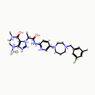 Cc1cc(F)cc(CN2CCCN(c3ccc(NC(=O)C(C)n4cnc(N(C)C=O)c4C(=O)N(C)C)nc3)CC2)c1